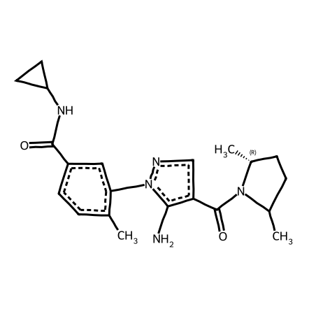 Cc1ccc(C(=O)NC2CC2)cc1-n1ncc(C(=O)N2C(C)CC[C@H]2C)c1N